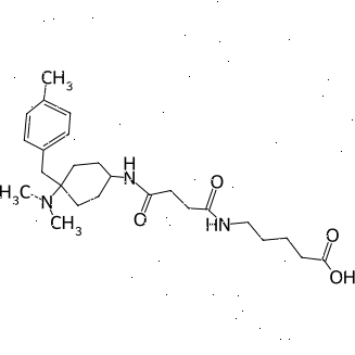 Cc1ccc(CC2(N(C)C)CCC(NC(=O)CCC(=O)NCCCCC(=O)O)CC2)cc1